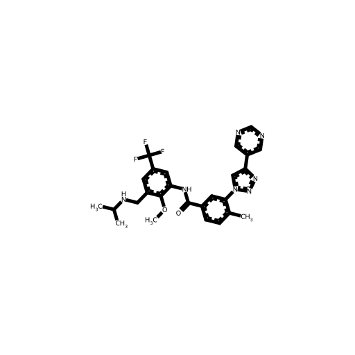 COc1c(CNC(C)C)cc(C(F)(F)F)cc1NC(=O)c1ccc(C)c(-n2cc(-c3cncnc3)nn2)c1